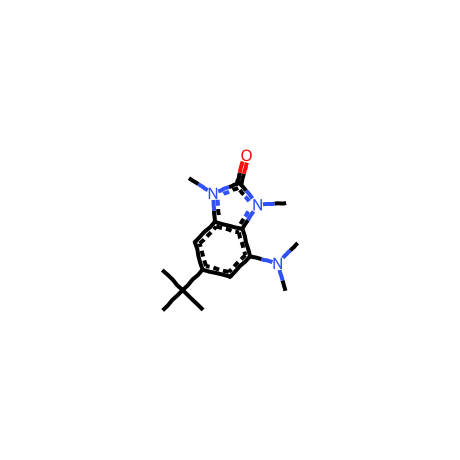 CN(C)c1cc(C(C)(C)C)cc2c1n(C)c(=O)n2C